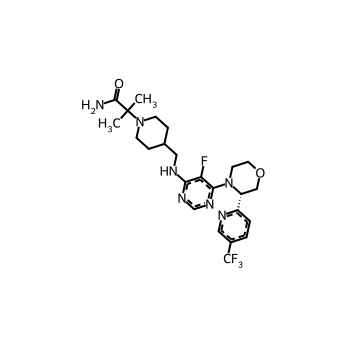 CC(C)(C(N)=O)N1CCC(CNc2ncnc(N3CCOC[C@@H]3c3ccc(C(F)(F)F)cn3)c2F)CC1